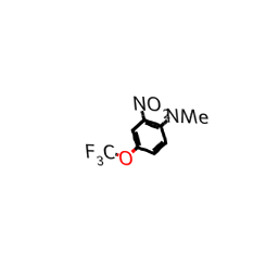 CNc1ccc(OC(F)(F)F)cc1[N+](=O)[O-]